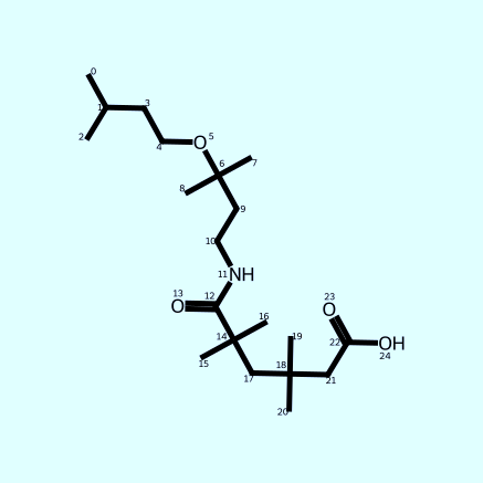 CC(C)CCOC(C)(C)CCNC(=O)C(C)(C)CC(C)(C)CC(=O)O